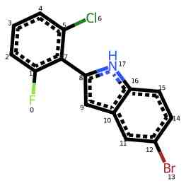 Fc1cccc(Cl)c1-c1cc2cc(Br)ccc2[nH]1